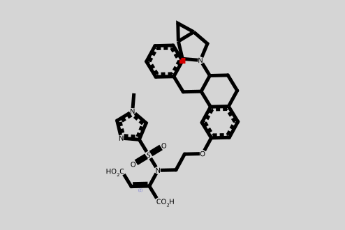 Cn1cnc(S(=O)(=O)N(CCOc2ccc3c(c2)C(Cc2ccccc2)C(N2CC4CC4C2)CC3)/C(=C\C(=O)O)C(=O)O)c1